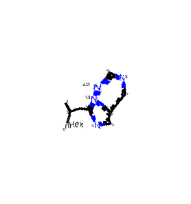 CCCCCCC(C)c1ncc2cncnn12